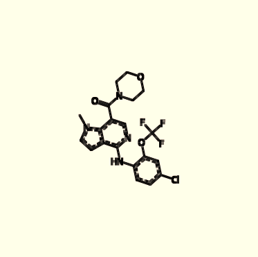 Cn1ccc2c(Nc3ccc(Cl)cc3OC(F)(F)F)ncc(C(=O)N3CCOCC3)c21